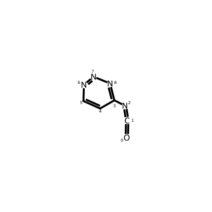 O=C=Nc1ccnnn1